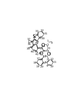 CC[C@@H]1C[C@H](OCc2ccccc2)[C@@H](OCc2ccccc2)C(c2cc(C3(c4cc5ccccc5s4)CC3)c(C)cc2C)O1